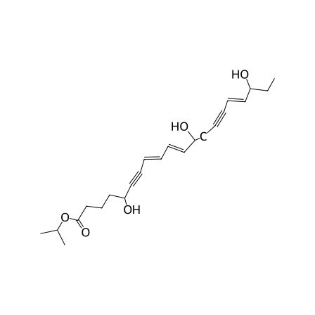 CCC(O)C=CC#CCC(O)C=CC=CC#CC(O)CCCC(=O)OC(C)C